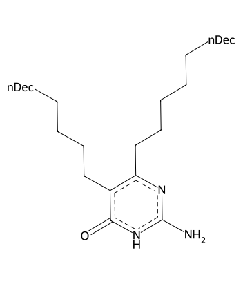 CCCCCCCCCCCCCCCc1nc(N)[nH]c(=O)c1CCCCCCCCCCCCCC